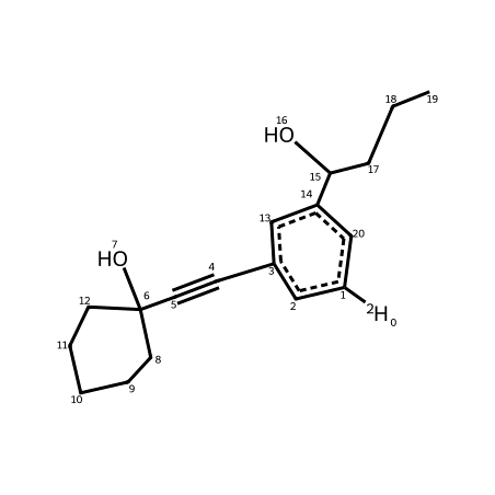 [2H]c1cc(C#CC2(O)CCCCC2)cc(C(O)CCC)c1